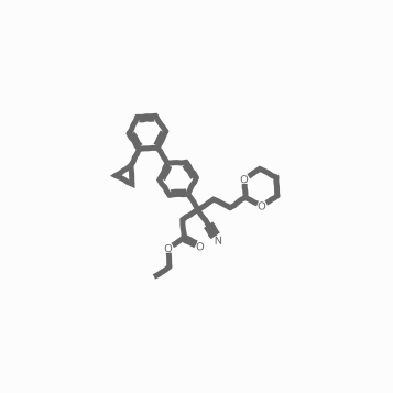 CCOC(=O)CC(C#N)(CCC1OCCCO1)c1ccc(-c2ccccc2C2CC2)cc1